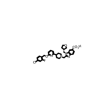 O=C(O)c1ccc2nc(CN3CCC(c4cccc(OCc5ccc(Cl)cc5F)n4)CC3)n(C[C@H]3CCOC3)c2c1